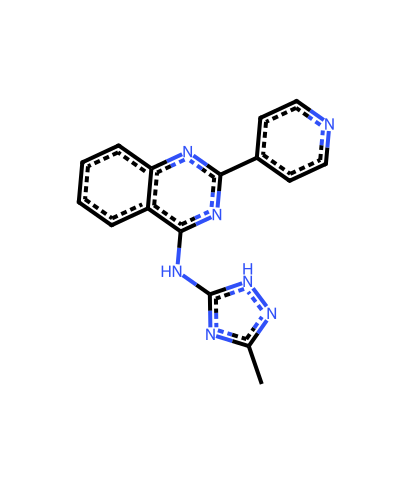 Cc1n[nH]c(Nc2nc(-c3ccncc3)nc3ccccc23)n1